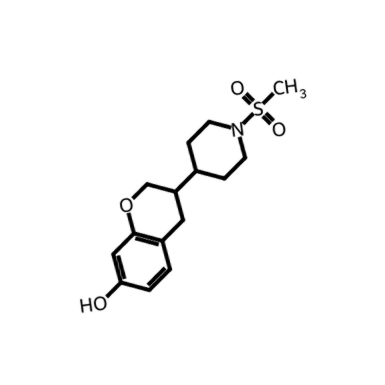 CS(=O)(=O)N1CCC(C2COc3cc(O)ccc3C2)CC1